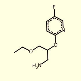 CCOCC(CN)Oc1ccc(F)cn1